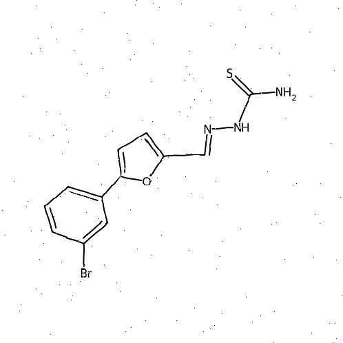 NC(=S)N/N=C/c1ccc(-c2cccc(Br)c2)o1